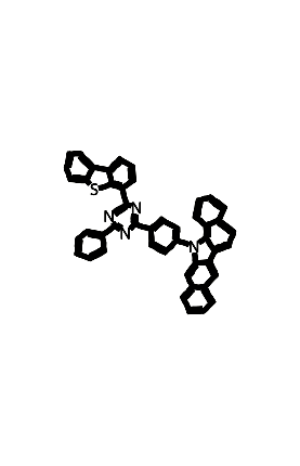 c1ccc(-c2nc(-c3ccc(-n4c5cc6ccccc6cc5c5ccc6ccccc6c54)cc3)nc(-c3cccc4c3sc3ccccc34)n2)cc1